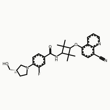 CC1(C)C(NC(=O)c2ccc(N3CC[C@H](CO)C3)c(F)c2)C(C)(C)C1Oc1ccc(C#N)c2ncccc12